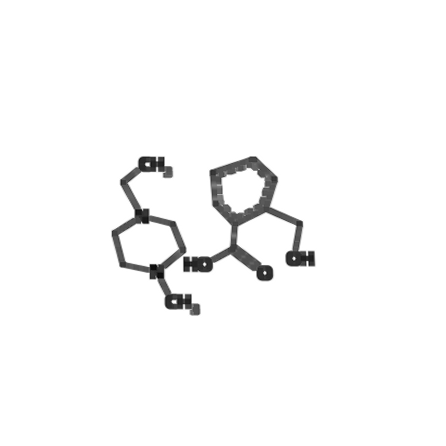 CCN1CCN(C)CC1.O=C(O)c1ccccc1CO